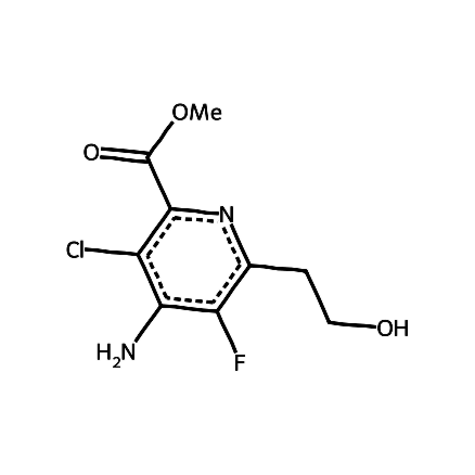 COC(=O)c1nc(CCO)c(F)c(N)c1Cl